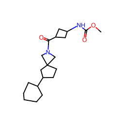 COC(=O)NC1CC(C(=O)N2CC3(CCC(C4CCCCC4)C3)C2)C1